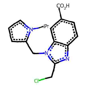 CC(C)n1cccc1Cn1c(CCl)nc2ccc(C(=O)O)cc21